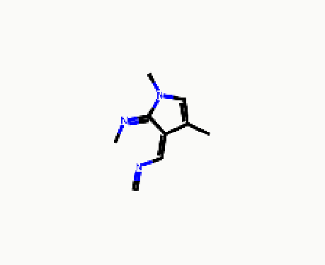 C=N/C=C1/C(C)=CN(C)/C1=N/C